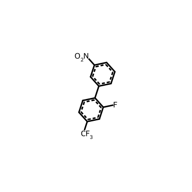 O=[N+]([O-])c1cccc(-c2ccc(C(F)(F)F)cc2F)c1